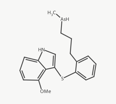 COc1cccc2[nH]cc(Sc3ccccc3CCC[AsH]C)c12